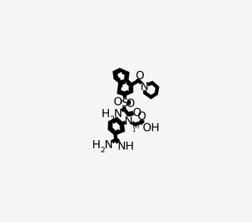 C[C@@H](C(=O)O)N(C(=O)C(N)S(=O)(=O)c1cc(C(=O)N2CCCCC2)c2ccccc2c1)c1cccc(C(=N)N)c1